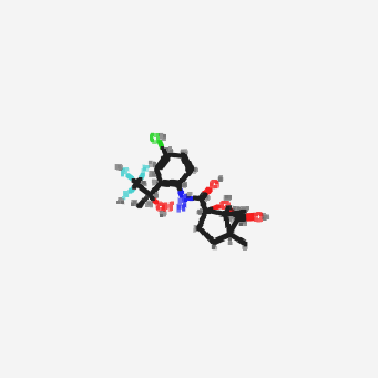 CC12CCC(C(=O)Nc3ccc(Cl)cc3[C@](C)(O)C(F)(F)F)(OC1=O)C2(C)C